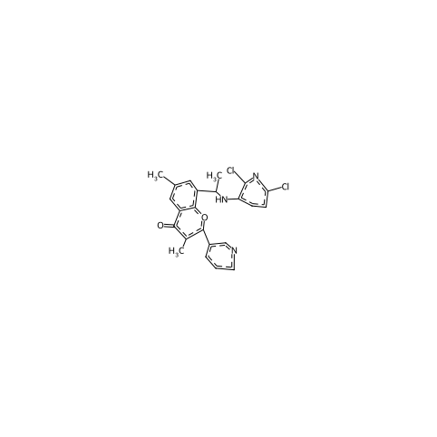 Cc1cc(C(C)Nc2ccc(Cl)nc2Cl)c2oc(-c3cccnc3)c(C)c(=O)c2c1